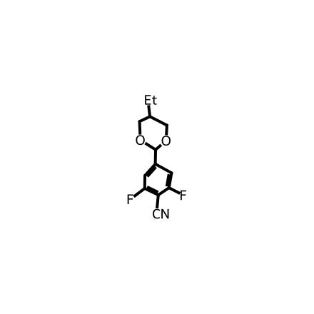 CCC1COC(c2cc(F)c(C#N)c(F)c2)OC1